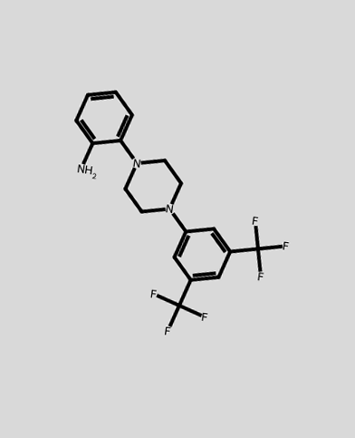 Nc1ccccc1N1CCN(c2cc(C(F)(F)F)cc(C(F)(F)F)c2)CC1